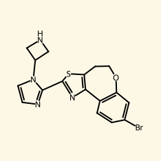 Brc1ccc2c(c1)OCCc1sc(-c3nccn3C3CNC3)nc1-2